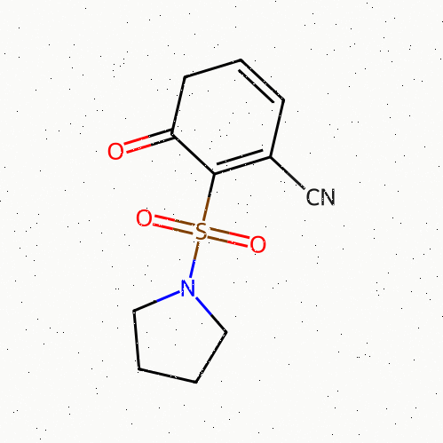 N#CC1=C(S(=O)(=O)N2CCCC2)C(=O)CC=C1